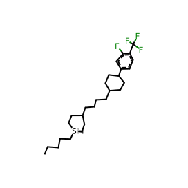 CCCCC[SiH]1CCC(CCCCC2CCC(c3ccc(C(F)(F)F)c(F)c3)CC2)CC1